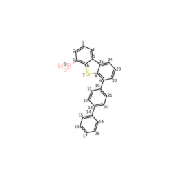 Bc1cccc2c1sc1c(-c3ccc(-c4ccccc4)cc3)cccc12